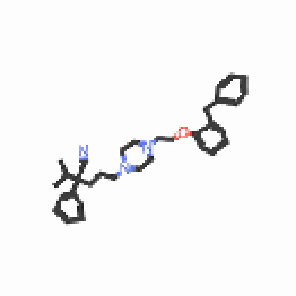 CC(C)C(C#N)(CCCN1CCN(CCOc2ccccc2Cc2ccccc2)CC1)c1ccccc1